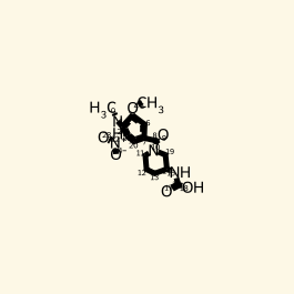 CNc1c(OC)cc(C(=O)N2CCCC(NC(=O)O)C2)cc1[N+](=O)[O-]